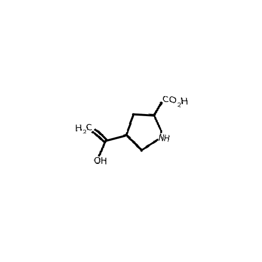 C=C(O)C1CNC(C(=O)O)C1